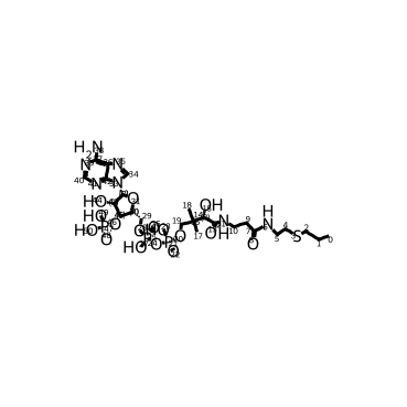 CCCSCCNC(=O)CCNC(=O)[C@H](O)C(C)(C)COP(=O)(O)OP(=O)(O)OC[C@H]1O[C@@H](n2cnc3c(N)ncnc32)[C@H](O)[C@@H]1OP(=O)(O)O